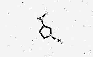 CCN[C@@H]1CCN(C)C1